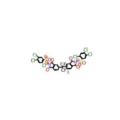 O=C1c2ccc(C(c3ccc4c(c3)C(=O)N(OS(=O)(=O)c3cc(Cl)c(Cl)cc3Cl)C4=O)(C(F)(F)F)C(F)(F)F)cc2C(=O)N1OS(=O)(=O)c1cc(Cl)c(Cl)cc1Cl